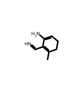 CC1=C(C=N)C(N)=CCC1